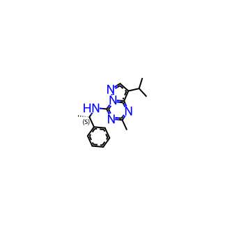 Cc1nc(N[C@@H](C)c2ccccc2)n2ncc(C(C)C)c2n1